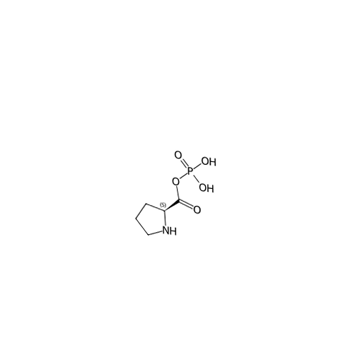 O=C(OP(=O)(O)O)[C@@H]1CCCN1